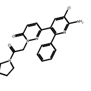 Nc1nc(-c2ccccc2)c(-c2ccc(=O)n(CC(=O)N3CCCC3)n2)cc1Cl